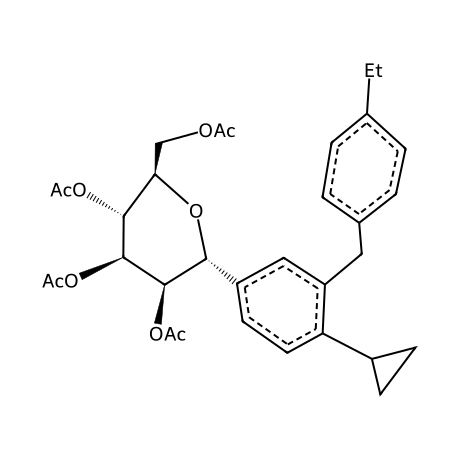 CCc1ccc(Cc2cc([C@H]3O[C@H](COC(C)=O)[C@@H](OC(C)=O)[C@H](OC(C)=O)[C@@H]3OC(C)=O)ccc2C2CC2)cc1